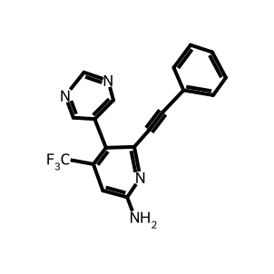 Nc1cc(C(F)(F)F)c(-c2cncnc2)c(C#Cc2ccccc2)n1